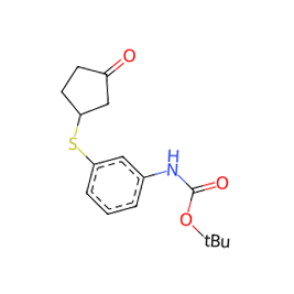 CC(C)(C)OC(=O)Nc1cccc(SC2CCC(=O)C2)c1